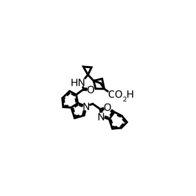 O=C(NC1(C23CC(C(=O)O)(C2)C3)CC1)c1cccc2ccn(Cc3nc4ccccc4o3)c12